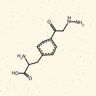 NNCC(=O)c1ccc(CC(N)C(=O)O)cc1